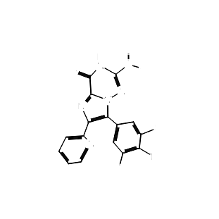 C[S+]([O-])c1nn2c(-c3cc(F)c(F)c(F)c3)c(-c3ccccn3)nc2c(=O)[nH]1